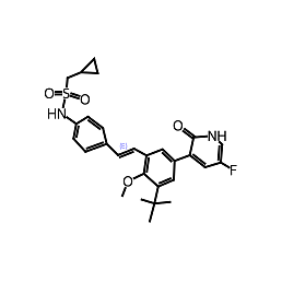 COc1c(/C=C/c2ccc(NS(=O)(=O)CC3CC3)cc2)cc(-c2cc(F)c[nH]c2=O)cc1C(C)(C)C